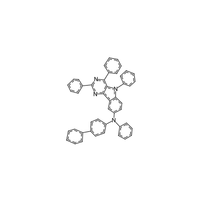 c1ccc(-c2ccc(N(c3ccccc3)c3ccc4c(c3)c3nc(-c5ccccc5)nc(-c5ccccc5)c3n4-c3ccccc3)cc2)cc1